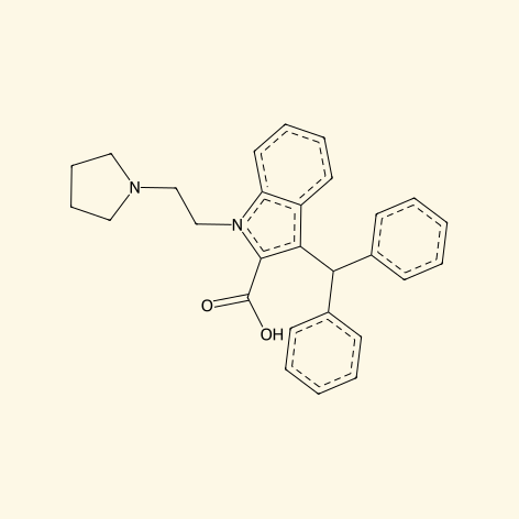 O=C(O)c1c(C(c2ccccc2)c2ccccc2)c2ccccc2n1CCN1CCCC1